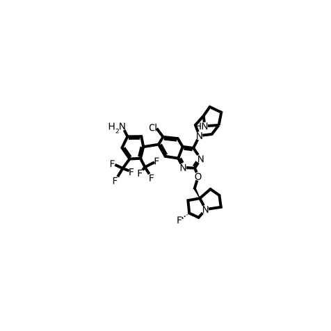 Nc1cc(-c2cc3nc(OC[C@@]45CCCN4C[C@H](F)C5)nc(N4CC5CCC(C4)N5)c3cc2Cl)c(C(F)(F)F)c(C(F)(F)F)c1